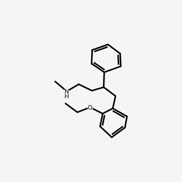 CCOc1ccccc1CC(CCNC)c1ccccc1